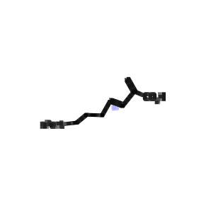 C=C(/C=C/CCCCCCCC)C(=O)O